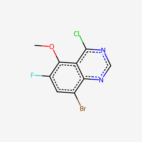 COc1c(F)cc(Br)c2ncnc(Cl)c12